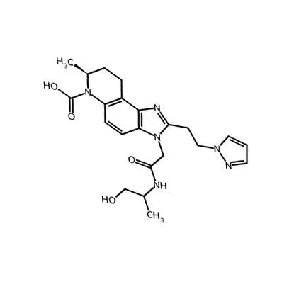 CC(CO)NC(=O)Cn1c(CCn2cccn2)nc2c3c(ccc21)N(C(=O)O)[C@@H](C)CC3